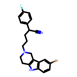 N#CC(CCCN1CCc2[nH]c3ccc(Br)cc3c2C1)c1ccc(F)cc1